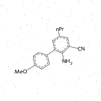 CCCc1cc(C#N)c(N)c(-c2ccc(OC)cc2)c1